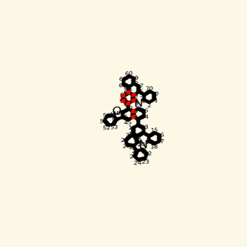 C1=CCC(N(c2ccc(-c3cccc(-c4ccccc4-n4c5ccccc5c5ccccc54)c3)cc2)c2ccccc2-c2cccc3c2oc2ccccc23)C(c2cc3ccccc3c3ccccc23)=C1